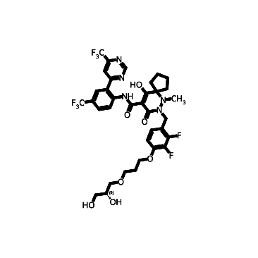 CN1N(Cc2ccc(OCCCOC[C@H](O)CO)c(F)c2F)C(=O)C(C(=O)Nc2ccc(C(F)(F)F)cc2-c2cc(C(F)(F)F)ncn2)=C(O)C12CCCC2